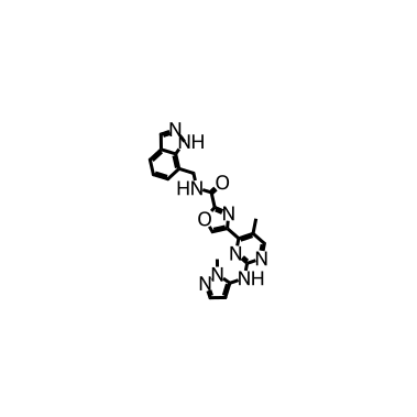 Cc1cnc(Nc2ccnn2C)nc1-c1coc(C(=O)NCc2cccc3cn[nH]c23)n1